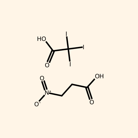 O=C(O)C(I)(I)I.O=C(O)CC[N+](=O)[O-]